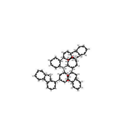 c1cc(-c2cccc3c2sc2ccccc23)cc(N(c2ccccc2-c2ccc3ccccc3c2)c2ccccc2-c2ccc3c(c2)sc2ccccc23)c1